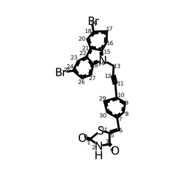 O=C1NC(=O)C(=Cc2ccc(C#CCn3c4ccc(Br)cc4c4cc(Br)ccc43)cc2)S1